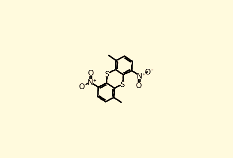 Cc1ccc([N+](=O)[O-])c2c1Sc1c([N+](=O)[O-])ccc(C)c1S2